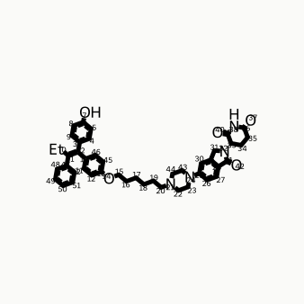 CC/C(=C(\c1ccc(O)cc1)c1ccc(OCCCCCCN2CCN(c3ccc4c(c3)CN([C@H]3CCC(=O)NC3=O)C4=O)CC2)cc1)c1ccccc1